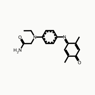 CCN(CC(N)=O)c1ccc(N=C2C=C(C)C(=O)C=C2C)cc1